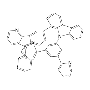 c1ccc(-n2c3ccc(-c4cccc5c6ccccc6n(-c6cc(-c7ccccn7)cc(-c7ccccn7)c6)c45)cc3c3ncccc32)cc1